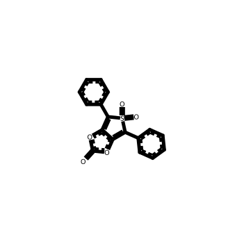 O=c1oc2c(o1)=C(c1ccccc1)S(=O)(=O)C=2c1ccccc1